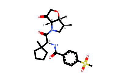 C[C@H]1CN(C(=O)[C@@H](NC(=O)c2ccc(S(C)(=O)=O)cc2)C2(C)CCCC2)[C@@H]2C(=O)CO[C@@H]21